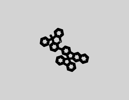 CC1(c2ccccc2)c2ccccc2Oc2c(-c3ccc4c(c3)C3(c5ccccc5-c5ccccc53)c3cc5ccccc5cc3-4)cccc21